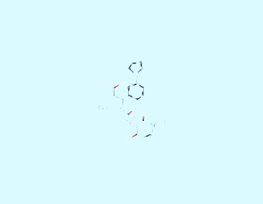 CN1C=CC(=O)C(NC(=O)NC(CC(=O)O)c2cccc(-n3cccc3)c2)C1=O.[NaH]